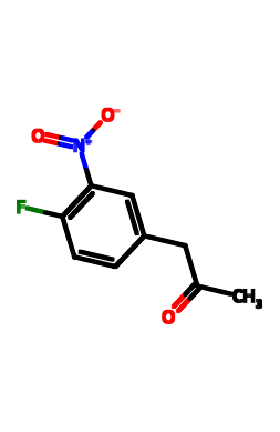 CC(=O)Cc1ccc(F)c([N+](=O)[O-])c1